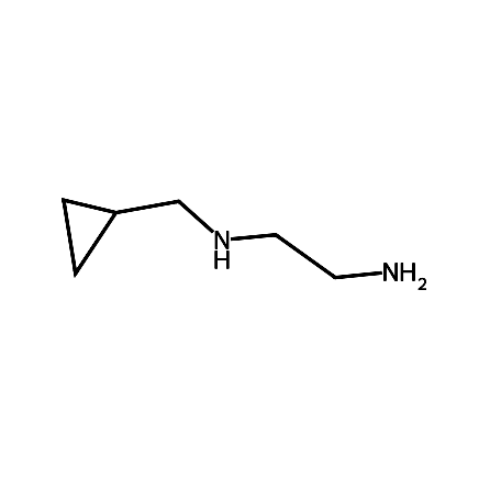 NCCNCC1CC1